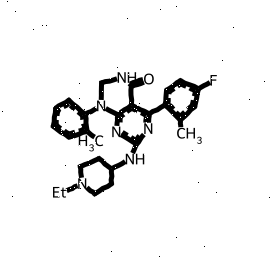 CCN1CCC(Nc2nc(-c3ccc(F)cc3C)c3c(n2)N(c2ccccc2C)CNC3=O)CC1